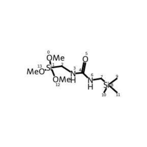 CO[Si](CNC(=O)NC[Si](C)(C)C)(OC)OC